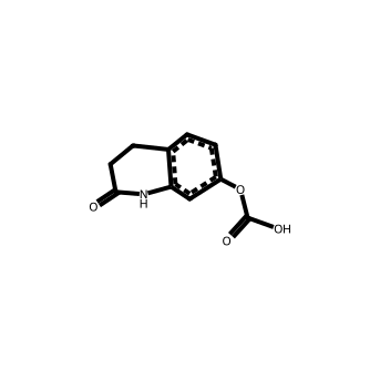 O=C1CCc2ccc(OC(=O)O)cc2N1